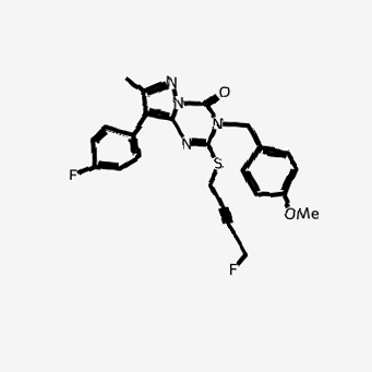 COc1ccc(Cn2c(SCC#CCF)nc3c(-c4ccc(F)cc4)c(C)nn3c2=O)cc1